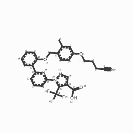 Cc1cc(OCCCC#N)ccc1COc1ccccc1-c1cccc(-n2ncc(C(=O)O)c2C(F)(F)F)n1